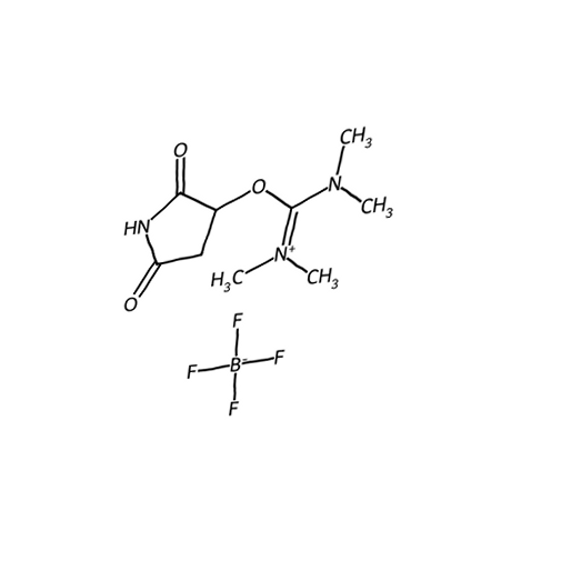 CN(C)C(OC1CC(=O)NC1=O)=[N+](C)C.F[B-](F)(F)F